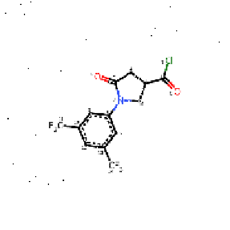 O=C(Cl)C1CC(=O)N(c2cc(C(F)(F)F)cc(C(F)(F)F)c2)C1